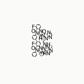 Nc1nc(N2CCC[C@H]2c2nc3ccc(-c4cccc(-n5c([C@@H]6CCCN6C(=O)c6nccnc6N)nc6cccc(F)c6c5=O)c4)c(F)c3c(=O)n2-c2ccccc2)c2[nH]cnc2n1